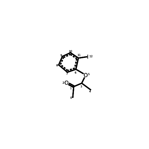 CC(=O)C(C)Oc1ccccc1I